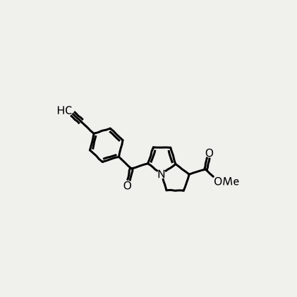 C#Cc1ccc(C(=O)c2ccc3n2CCC3C(=O)OC)cc1